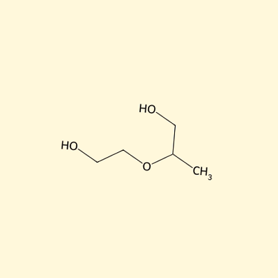 CC(CO)OCCO